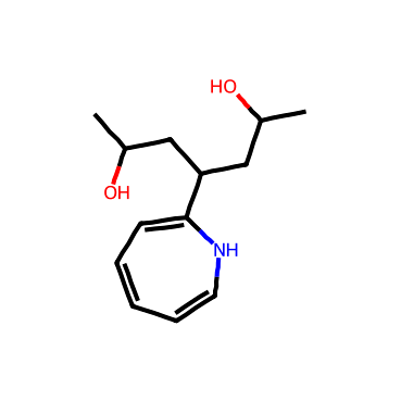 CC(O)CC(CC(C)O)C1=CC=CC=CN1